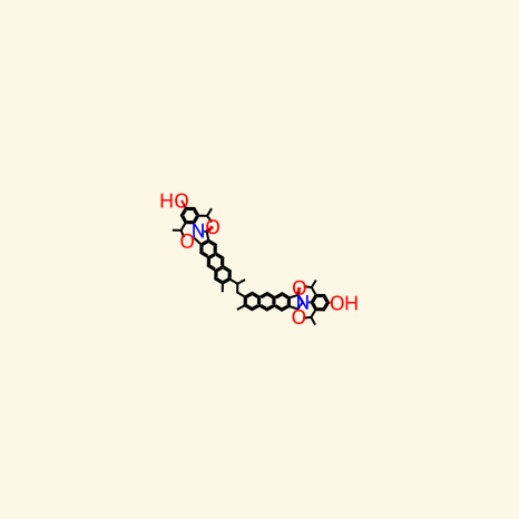 Cc1cc2cc3cc4c(cc3cc2cc1CC(C)c1cc2cc3cc5c(cc3cc2cc1C)C(=O)N(c1c(C(C)C)cc(O)cc1C(C)C)C5=O)C(=O)N(c1c(C(C)C)cc(O)cc1C(C)C)C4=O